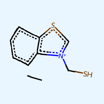 CC.SC[n+]1csc2ccccc21